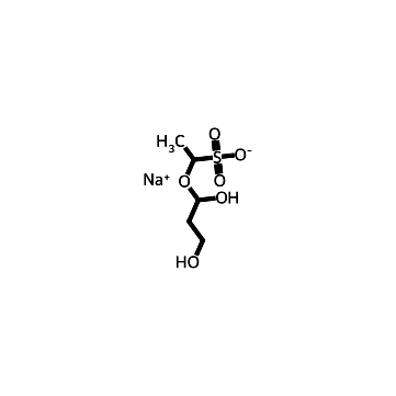 CC(OC(O)CCO)S(=O)(=O)[O-].[Na+]